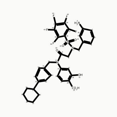 Nc1cccc(CN(CC(=O)N(Cc2ccc(C3CCCCC3)cc2)c2ccc(C(=O)O)c(O)c2)S(=O)(=O)c2c(F)c(F)c(F)c(F)c2F)c1